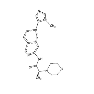 C[C@@H](C(=O)Nc1cc2cc(-c3cncn3C)ccc2cn1)N1CCOCC1